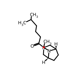 CCN1[C@@H]2CC[C@H]1CN(C(=O)CCCC(C)C)C2